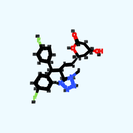 Cn1nnnc1C(C=C[C@H]1C[C@H](O)CC(=O)O1)=C(c1ccc(F)cc1)c1ccc(F)cc1